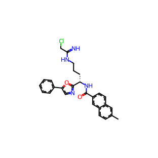 Cc1ccc2cc(C(=O)N[C@@H](CCCNC(=N)CCl)c3ncc(-c4ccccc4)o3)ccc2c1